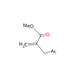 C=C(CC(C)=O)C(=O)OC